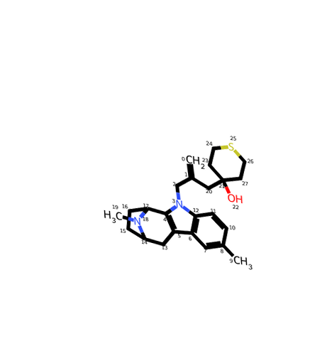 C=C(Cn1c2c(c3cc(C)ccc31)CC1CCC2N1C)CC1(O)CCSCC1